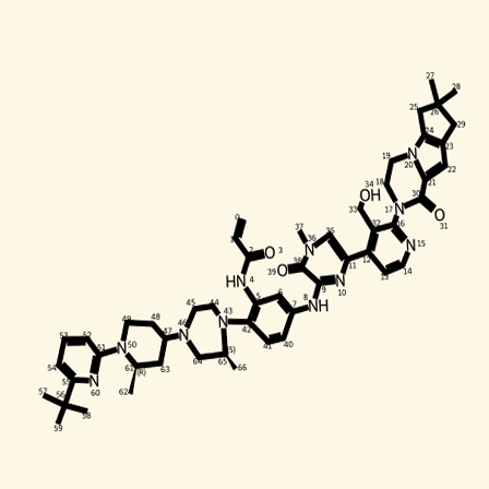 C=CC(=O)Nc1cc(Nc2nc(-c3ccnc(N4CCn5c(cc6c5CC(C)(C)C6)C4=O)c3CO)cn(C)c2=O)ccc1N1CCN(C2CCN(c3cccc(C(C)(C)C)n3)[C@H](C)C2)C[C@@H]1C